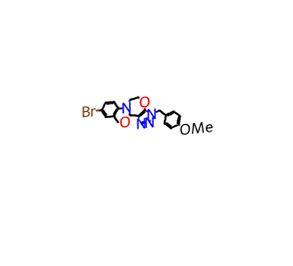 COc1ccc(Cn2nnc3c2OCCN(c2ccc(Br)cc2C)C3=O)cc1